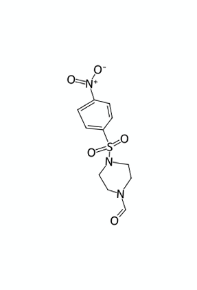 O=CN1CCN(S(=O)(=O)c2ccc([N+](=O)[O-])cc2)CC1